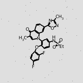 CCS(=O)(=O)Nc1ccc(Oc2ccc(F)cc2F)c(-n2cc(C)c(=O)c3ccc(-c4nc(C)no4)cc32)c1